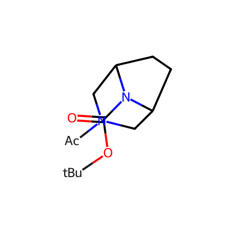 CC(=O)N1CC2CCC(C1)N2C(=O)OC(C)(C)C